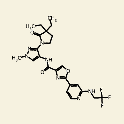 CCC1(CC)CCN(c2nn(C)cc2NC(=O)c2coc(-c3ccnc(NCC(F)(F)F)c3)n2)C1=O